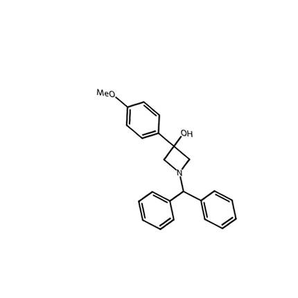 COc1ccc(C2(O)CN(C(c3ccccc3)c3ccccc3)C2)cc1